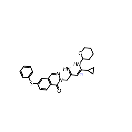 N=C(/C=C(\NC1CCCCO1)C1CC1)Cn1ncc2cc(Sc3ccccc3)ccc2c1=O